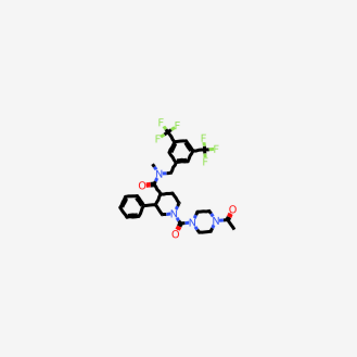 CC(=O)N1CCN(C(=O)N2CCC(C(=O)N(C)Cc3cc(C(F)(F)F)cc(C(F)(F)F)c3)C(c3ccccc3)C2)CC1